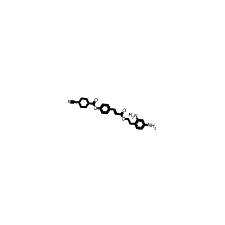 N#CC1CCC(C(=O)Oc2ccc(/C=C/C(=O)OCCc3ccc(N)cc3N)cc2)CC1